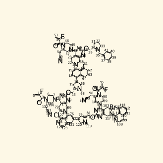 C=C(F)C(=O)N1CCN(c2nc(OC[C@@H]3CC(c4ccc(N5CCc6c(nc(OC[C@@H]7CCCN7Cc7ccccc7)nc6N6CCN(C(=O)C(=C)F)[C@@H](CC#N)C6)C5)c5c(C)cccc45)CN3C)nc3c2CCN(c2cc(C4C[C@@H](COc5nc6c(c(N7CCN(C(=O)C(=C)F)[C@@H](CC#N)C7)n5)CCN(c5nccc7cccc(Br)c57)C6)N(C)C4)cc4ccnc(Cl)c24)C3)C[C@@H]1CC#N